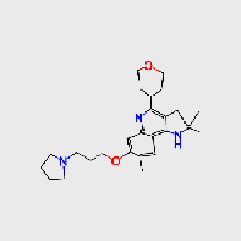 Cc1cc2c3c(c(C4CCOCC4)nc2cc1OCCCN1CCCC1)CC(C)(C)N3